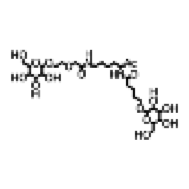 CC(=O)C(CCCCNC(=O)COCCOC1OC(CO)C(O)C(O)C1O)NC(=O)CCCCOC1OC(CO)C(O)C(O)C1O